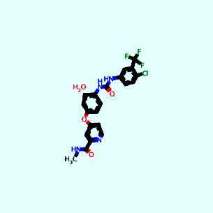 CNC(=O)c1cc(Oc2ccc(NC(=O)Nc3ccc(Cl)c(C(F)(F)F)c3)cc2)ccn1.O